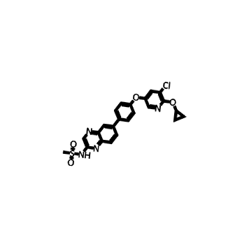 CS(=O)(=O)Nc1cnc2cc(-c3ccc(Oc4cnc(OC5CC5)c(Cl)c4)cc3)ccc2n1